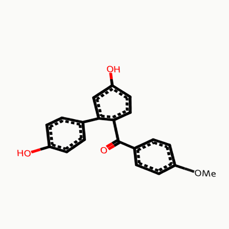 COc1ccc(C(=O)c2ccc(O)cc2-c2ccc(O)cc2)cc1